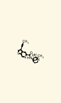 CC#Cc1csc2cnc(C(=O)N[C@@H]3C4CCN(CC4)[C@H]3C)cc12